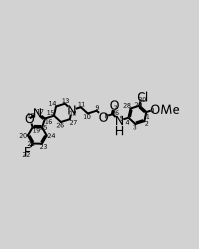 COc1ccc(NC(=O)OCCCN2CCC(c3noc4cc(F)ccc34)CC2)cc1Cl